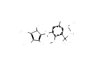 COc1c([Si](C)(C)C2=C(C)C(C)=C(C)C2C)cc(C)c([SiH](C)C)c1C(C)(C)C